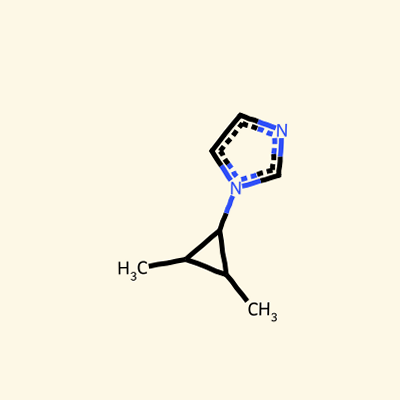 CC1C(C)C1n1ccnc1